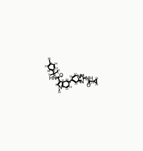 CCC(C)(NC(=O)c1cn(C)c2ccc(-c3ccn4nc(NC(=O)C5CC5)nc4c3)cc12)c1ccc(C)cc1